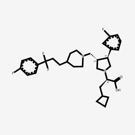 O=C(O)[C@@H](CC1CCC1)N1C[C@H](CN2CCC(CCC(F)(F)c3ccc(F)cc3)CC2)[C@@H](c2cccc(F)c2)C1